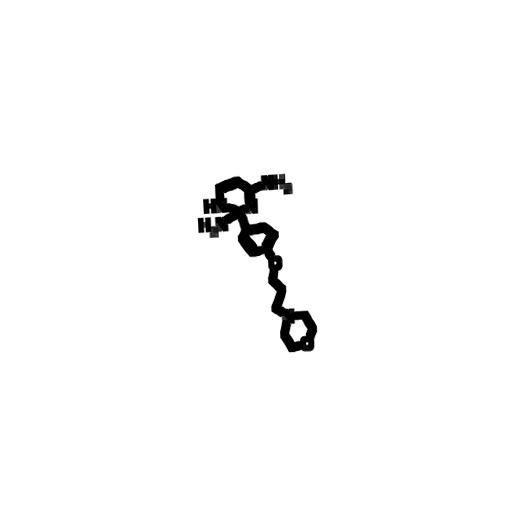 NC1=NC(N)(c2ccc(OCCCN3CCOCC3)cc2)NC=C1